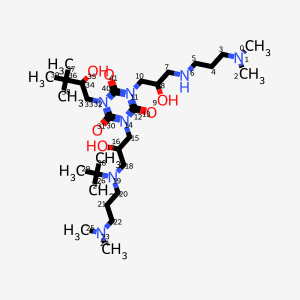 CN(C)CCCNCC(O)Cn1c(=O)n(CC(O)CN(CCCN(C)C)C(C)(C)C)c(=O)n(CC(O)C(C)(C)C)c1=O